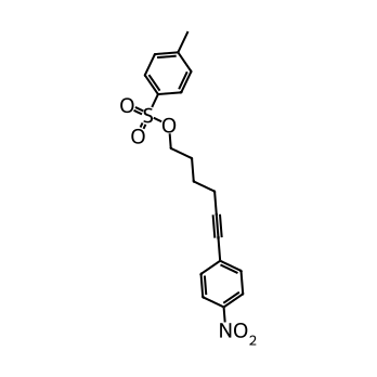 Cc1ccc(S(=O)(=O)OCCCCC#Cc2ccc([N+](=O)[O-])cc2)cc1